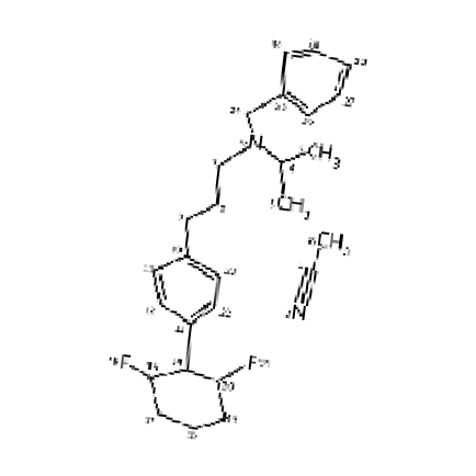 CC#N.CC(C)N(CCCc1ccc(C2C(F)CCCC2F)cc1)Cc1ccccc1